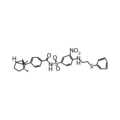 CC1(C)[C@H]2C=C(c3ccc(C(=O)NS(=O)(=O)c4ccc(NCCSc5ccccc5)c([N+](=O)[O-])c4)cc3)[C@]1(C)CC2